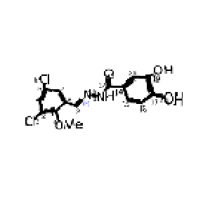 COc1c(Cl)cc(Cl)cc1/C=N/NC(=O)c1ccc(O)c(O)c1